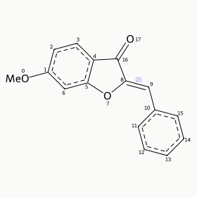 COc1ccc2c(c1)O/C(=C\c1ccccc1)C2=O